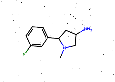 CN1CC(N)CC1c1cccc(F)c1